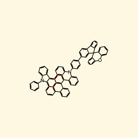 c1ccc(-c2ccccc2-c2ccccc2-c2ccccc2N(c2ccc(-c3ccc4c(c3)C3(c5ccccc5Oc5ccccc53)c3ccccc3-4)cc2)c2cccc(-c3cccc4c3c3ccccc3n4-c3ccccc3)c2)cc1